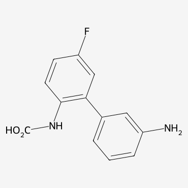 Nc1cccc(-c2cc(F)ccc2NC(=O)O)c1